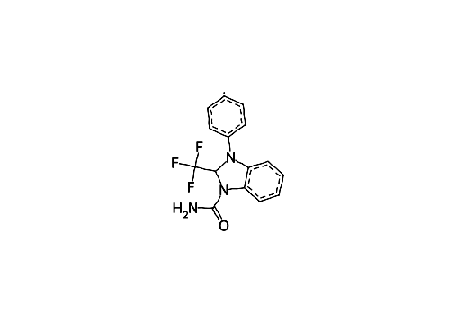 NC(=O)N1c2ccccc2N(c2cc[c]cc2)C1C(F)(F)F